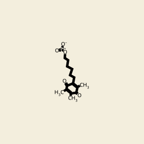 CC1=C(C)C(=O)C(CCCCCCO[N+](=O)[O-])=C(C)C1=O